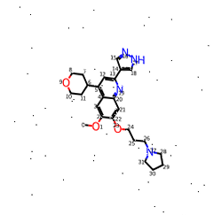 COc1cc2c(C3CCOCC3)cc(-c3cn[nH]c3)nc2cc1OCCCN1CCCC1